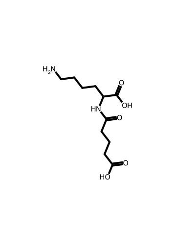 NCCCCC(NC(=O)CCCC(=O)O)C(=O)O